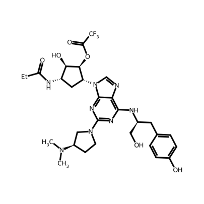 CCC(=O)N[C@H]1C[C@@H](n2cnc3c(N[C@H](CO)Cc4ccc(O)cc4)nc(N4CC[C@@H](N(C)C)C4)nc32)[C@H](OC(=O)C(F)(F)F)[C@@H]1O